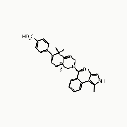 Cc1n[nH]c(C)c1-c1ccccc1C(=O)N1CC=C2C(C)(C)C(c3ccc(C(=O)O)cc3)=CC[C@]2(C)C1